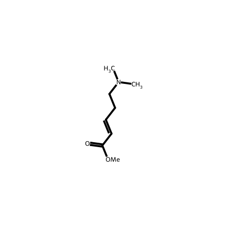 COC(=O)C=CCCN(C)C